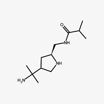 CC(C)C(=O)NC[C@@H]1CC(C(C)(C)N)CN1